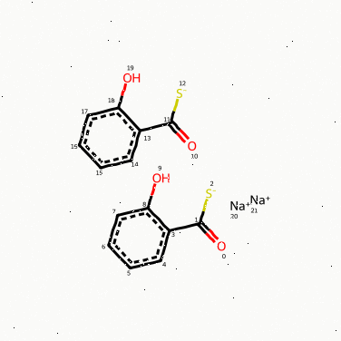 O=C([S-])c1ccccc1O.O=C([S-])c1ccccc1O.[Na+].[Na+]